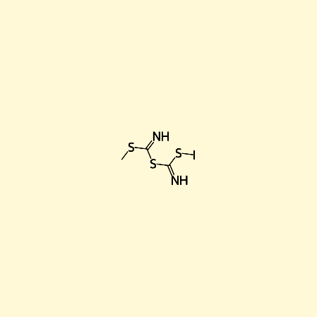 CSC(=N)SC(=N)SI